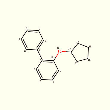 [c]1cccc(-c2ccccc2)c1OC1CCCC1